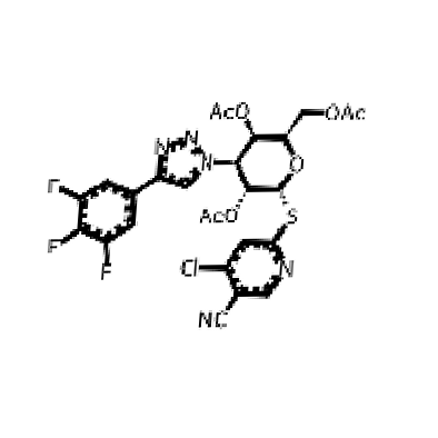 CC(=O)OC[C@H]1O[C@H](Sc2cc(Cl)c(C#N)cn2)[C@H](OC(C)=O)[C@@H](n2cc(-c3cc(F)c(F)c(F)c3)nn2)[C@H]1OC(C)=O